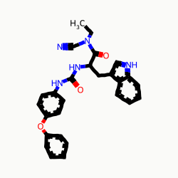 CCN(C#N)C(=O)C(Cc1c[nH]c2ccccc12)NC(=O)Nc1ccc(Oc2ccccc2)cc1